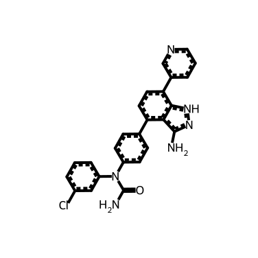 NC(=O)N(c1ccc(-c2ccc(-c3cccnc3)c3[nH]nc(N)c23)cc1)c1cccc(Cl)c1